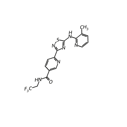 Cc1cccnc1Nc1nc(-c2ccc(C(=O)NCC(F)(F)F)cn2)ns1